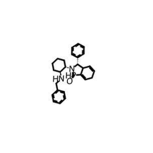 O=[PH]1C2=CCC=CC2[C@@H](c2ccccc2)N1[C@H]1CCCC[C@@H]1NCc1ccccc1